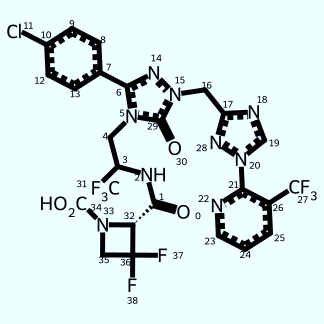 O=C(NC(Cn1c(-c2ccc(Cl)cc2)nn(Cc2ncn(-c3ncccc3C(F)(F)F)n2)c1=O)C(F)(F)F)[C@H]1N(C(=O)O)CC1(F)F